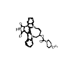 CN1CCN(C(=O)OC2CCn3c4ccccc4c4c5c(c6c7ccccc7n(c6c43)C2)C(=O)NC5=O)CC1